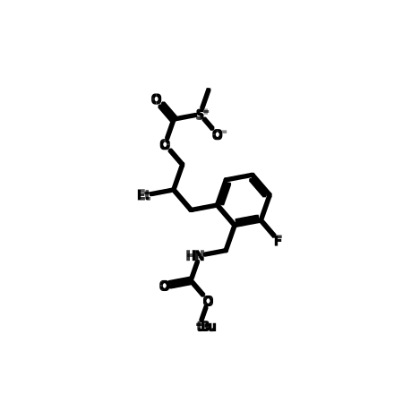 CCC(COC(=O)[S+](C)[O-])Cc1cccc(F)c1CNC(=O)OC(C)(C)C